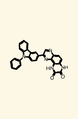 O=c1[nH]c2ccc3ncc(-c4ccc5c(c4)c4ccccc4n5-c4ccccc4)nc3c2[nH]c1=O